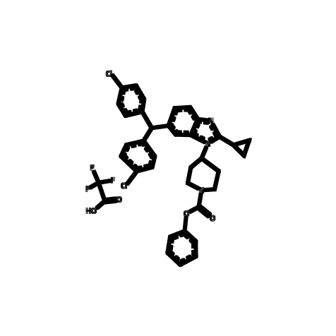 O=C(O)C(F)(F)F.O=C(Oc1ccccc1)N1CCC(n2c(C3CC3)nc3ccc(C(c4ccc(Cl)cc4)c4ccc(Cl)cc4)cc32)CC1